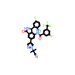 CC(C)(C#N)n1cc(-c2cc(NC(=O)c3cc(F)cc(C(F)(F)F)c3)c3c(c2)C(=O)NC3c2cc(F)ccc2Cl)cn1